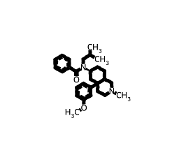 COc1cccc(C23CCN(C)CC2CC[C@H](N(CC(C)C)C(=O)c2ccccc2)C3)c1